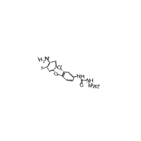 CCCCCNC(=O)Nc1ccc(Oc2ccc(N)c(F)c2)c(Cl)c1